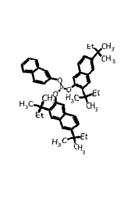 CCC(C)(C)c1ccc2cc(OP(Oc3ccc4ccccc4c3)Oc3cc4ccc(C(C)(C)CC)cc4cc3C(C)(C)CC)c(C(C)(C)CC)cc2c1